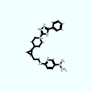 C[S+]([O-])c1ccc(OCCC2CC2C2CCN(c3nnc(-c4ccccc4)o3)CC2)nc1